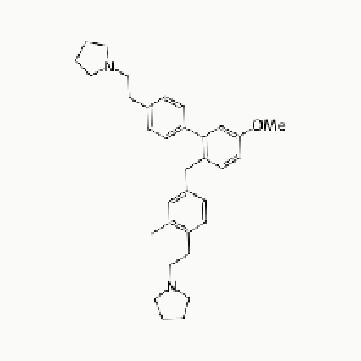 COc1ccc(Cc2ccc(CCN3CCCC3)c(C)c2)c(-c2ccc(CCN3CCCC3)cc2)c1